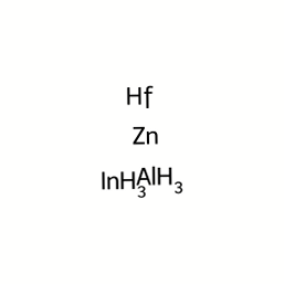 [AlH3].[Hf].[InH3].[Zn]